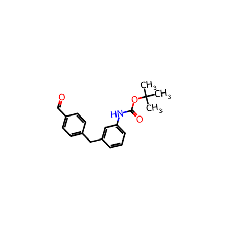 CC(C)(C)OC(=O)Nc1cccc(Cc2ccc(C=O)cc2)c1